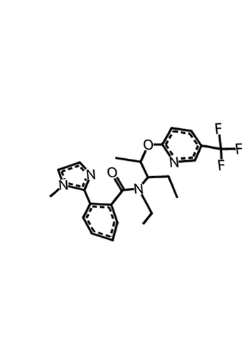 CCC(C(C)Oc1ccc(C(F)(F)F)cn1)N(CC)C(=O)c1ccccc1-c1nccn1C